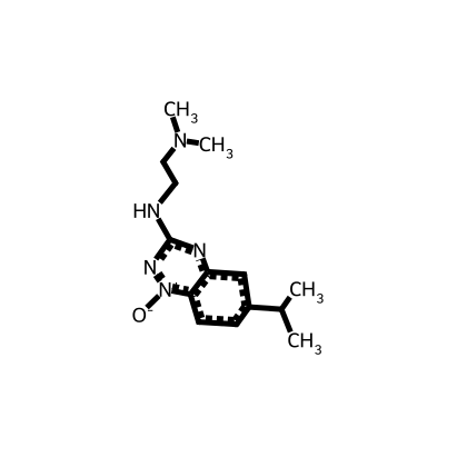 CC(C)c1ccc2c(c1)nc(NCCN(C)C)n[n+]2[O-]